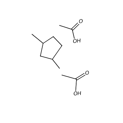 CC(=O)O.CC(=O)O.CC1CCC(C)C1